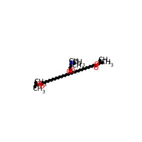 CCC(CC)COC(=O)CCCCCCCCCCCCCCCCC(CCCCCCCCCCCCCCC(=O)OCC(CC)CC)OC(=O)CCCN(C)C(C)C